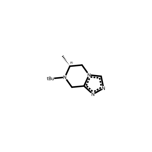 C[C@@H]1Cn2cnnc2CN1C(C)(C)C